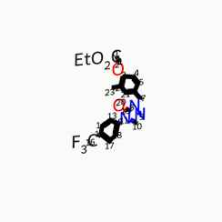 CCOC(=O)COc1ccc(Cn2ncn(-c3ccc(C(F)(F)F)cc3)c2=O)cc1C